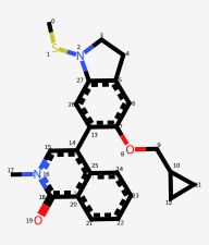 CSN1CCc2cc(OCC3CC3)c(-c3cn(C)c(=O)c4ccccc34)cc21